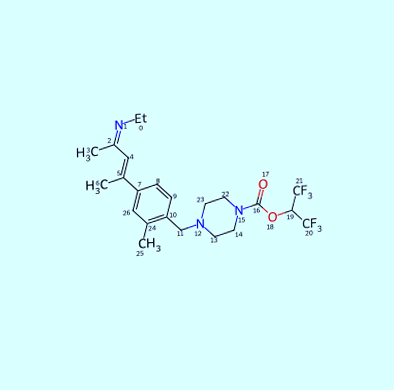 CC/N=C(C)\C=C(/C)c1ccc(CN2CCN(C(=O)OC(C(F)(F)F)C(F)(F)F)CC2)c(C)c1